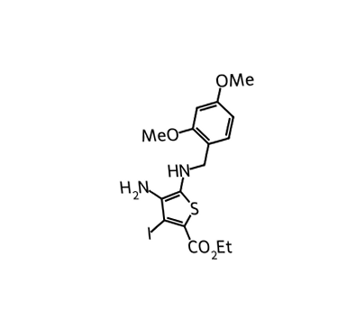 CCOC(=O)c1sc(NCc2ccc(OC)cc2OC)c(N)c1I